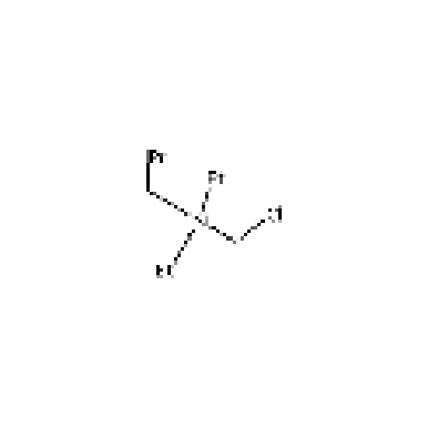 CC[Si](CC)(CCl)CC(C)C